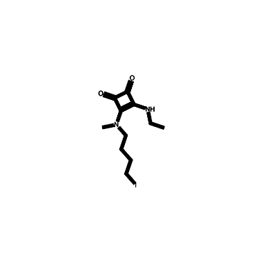 CCNc1c(N(C)CCCCI)c(=O)c1=O